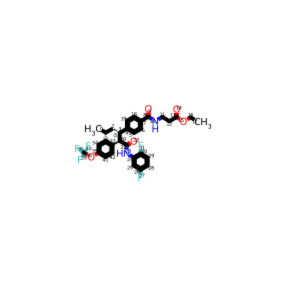 CCC[C@H](c1ccc(C(=O)NCCC(=O)OCC)cc1)[C@@H](C(=O)Nc1cc(F)ccc1F)c1ccc(OC(F)(F)F)cc1